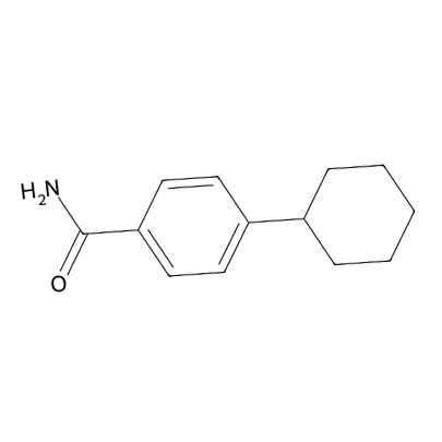 NC(=O)c1ccc(C2CCCCC2)cc1